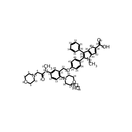 CN(C(=O)CN1CCOCC1)c1ccc(N2CCOCC2)c(COc2ccc(-c3c(-c4ccccc4)c4sc(C(=O)O)cc4n3C)cc2)c1.Cl.Cl